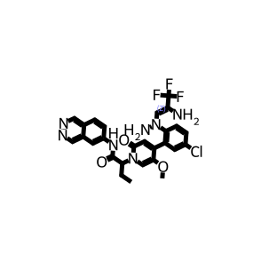 CCC(C(=O)Nc1ccc2cnncc2c1)n1cc(OC)c(-c2cc(Cl)ccc2N(N)/C=C(\N)C(F)(F)F)cc1=O